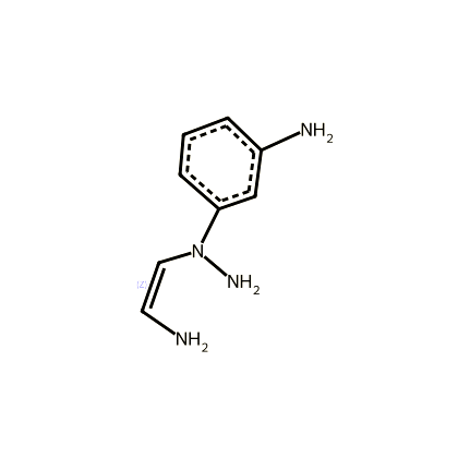 N/C=C\N(N)c1cccc(N)c1